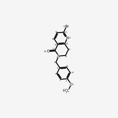 COc1ccc(CN2CCc3nc(Br)ccc3C2=O)cc1